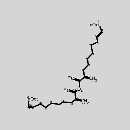 C=C(CCCCCCC=CCCCCCCCC)C(=O)OC(=O)C(=C)CCCCCC/C=C\CCCCCCCC